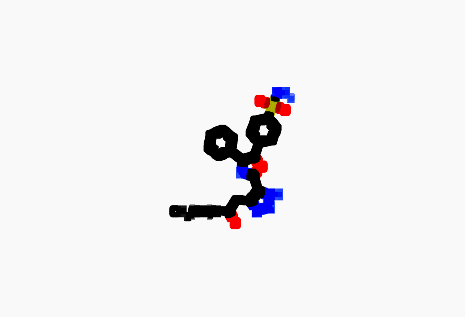 CN(O)C(=O)Cc1nn[nH]c1-c1nc(-c2ccccc2)c(-c2ccc(S(N)(=O)=O)cc2)o1